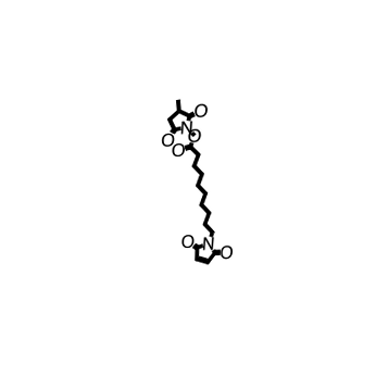 CC1CC(=O)N(OC(=O)CCCCCCCCCN2C(=O)C=CC2=O)C1=O